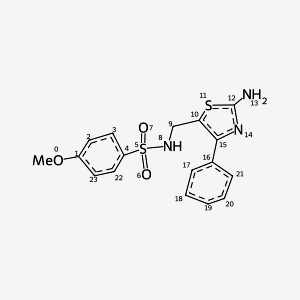 COc1ccc(S(=O)(=O)NCc2sc(N)nc2-c2ccccc2)cc1